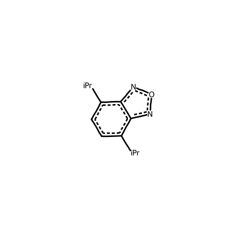 CC(C)c1ccc(C(C)C)c2nonc12